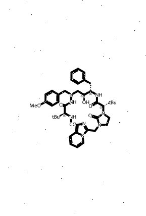 COc1ccc(CN(C[C@H](O)[C@H](Cc2ccccc2)NC(=O)[C@@H](N2CCN(Cc3ncc4ccccn34)C2=O)C(C)(C)C)NC(=O)[C@@H](NC(=O)O)C(C)(C)C)cc1